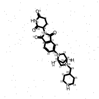 O=C1CCC(N2C(=O)c3ccc(N4C[C@@H]5C[C@H]4CN5CC4CCNCC4)cc3C2=O)C(=O)N1